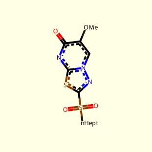 CCCCCCCS(=O)(=O)c1nn2cc(OC)c(=O)nc2s1